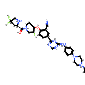 N#Cc1cc(-c2ncnc(Nc3ccc(N4CCN(C5COC5)CC4)cc3)n2)ccc1O[C@H]1CCN(C(=O)[C@H]2CC(F)(F)CN2)C[C@H]1F